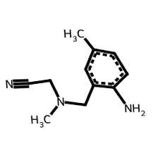 Cc1ccc(N)c(CN(C)CC#N)c1